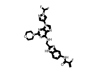 C=C(F)C(=O)Nc1ccc2[nH]c(CNc3nc(N4CCOCC4)nc4c3ncn4-c3cnn(C(F)F)c3)nc2c1